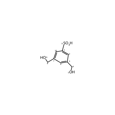 O=S(=O)(O)c1cc(CO)cc(CO)c1